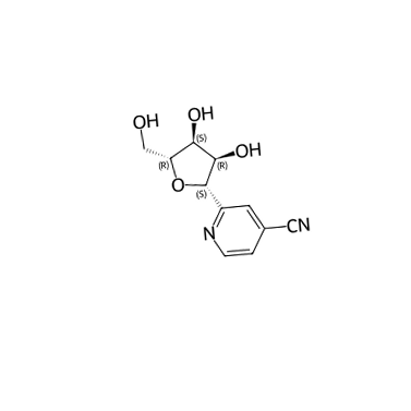 N#Cc1ccnc([C@@H]2O[C@H](CO)[C@@H](O)[C@H]2O)c1